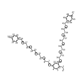 CCc1ccc(OCCOCCOCCOCCOCc2ccc(C)cc2)cc1OCCOCCOCCOCCOCc1ccc(C)cc1